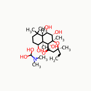 C=C[C@@]1(C)CC(=O)[C@@]2(O)[C@@]3(C)[C@@H](O)CCC(C)(C)[C@@H]3[C@H](O)[C@H](O)[C@@]2(C)O1.CN(C)C(O)O